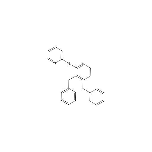 c1ccc(Cc2ccn[c]([Ni][c]3ccccn3)c2Cc2ccccc2)cc1